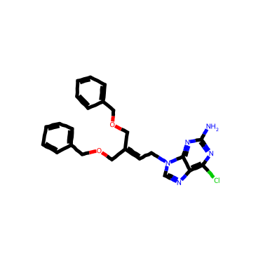 Nc1nc(Cl)c2ncn(CC=C(COCc3ccccc3)COCc3ccccc3)c2n1